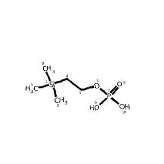 C[Si](C)(C)CCOP(=O)(O)O